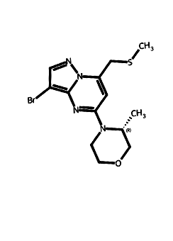 CSCc1cc(N2CCOC[C@H]2C)nc2c(Br)cnn12